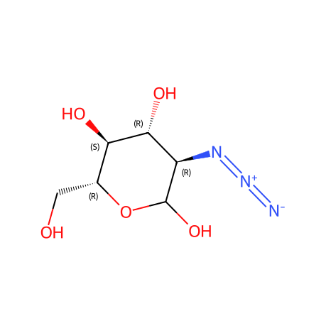 [N-]=[N+]=N[C@H]1C(O)O[C@H](CO)[C@@H](O)[C@@H]1O